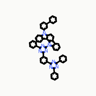 c1ccc(-c2cccc(-n3c4ccccc4c4c3ccc3c5ccccc5n(-c5nc(-c6ccccc6)nc(-c6cccc(-c7nc(-c8ccccc8)nc(-c8ccccc8)n7)c6)n5)c34)c2)cc1